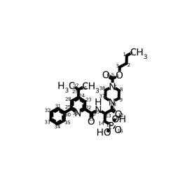 CCCCOC(=O)N1CCN(C(=O)C(CP(=O)(O)O)NC(=O)c2cc(C(C)C)cc(-c3ccccc3)n2)CC1